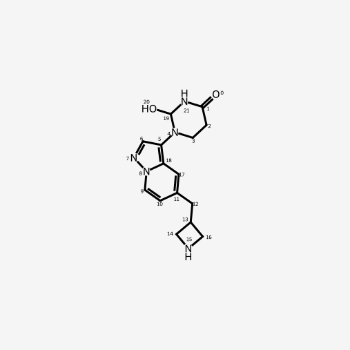 O=C1CCN(c2cnn3ccc(CC4CNC4)cc23)C(O)N1